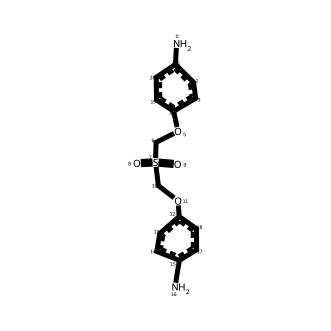 Nc1ccc(OCS(=O)(=O)COc2ccc(N)cc2)cc1